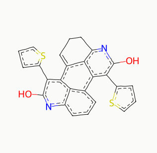 Oc1nc2cccc3c4c(-c5cccs5)c(O)nc5c4c(c(c1-c1cccs1)c23)=CCC5